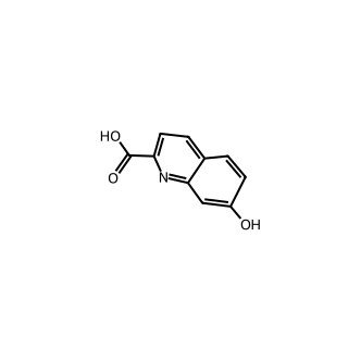 O=C(O)c1ccc2ccc(O)cc2n1